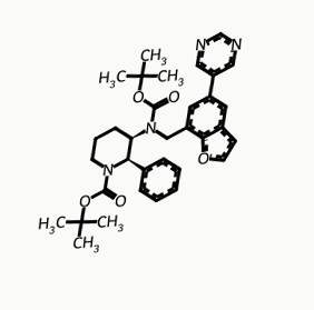 CC(C)(C)OC(=O)N(Cc1cc(-c2cncnc2)cc2ccoc12)[C@@H]1CCCN(C(=O)OC(C)(C)C)[C@@H]1c1ccccc1